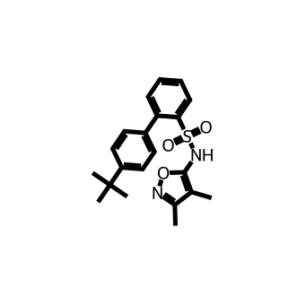 Cc1noc(NS(=O)(=O)c2ccccc2-c2ccc(C(C)(C)C)cc2)c1C